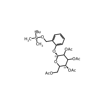 CC(=O)OCC1O[C@@H](Oc2ccccc2CO[Si](C)(C)C(C)(C)C)C(OC(C)=O)C(OC(C)=O)[C@H]1OC(C)=O